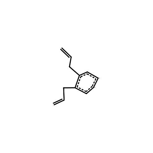 C=CCc1c[c][c]cc1CC=C